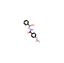 COc1ccc(C(=O)NOB(O)c2ccccc2)cc1